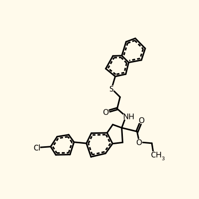 CCOC(=O)C1(NC(=O)CSc2ccc3ccccc3c2)Cc2ccc(-c3ccc(Cl)cc3)cc2C1